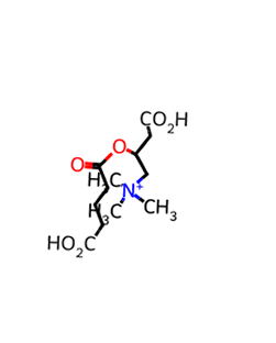 C[N+](C)(C)CC(CC(=O)O)OC(=O)CCCC(=O)O